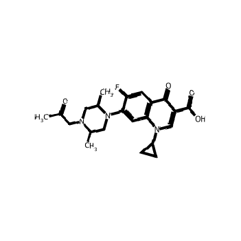 CC(=O)CN1CC(C)N(c2cc3c(cc2F)c(=O)c(C(=O)O)cn3C2CC2)CC1C